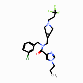 CCCn1cnc(C(=O)N(Cc2cccc(Cl)c2)CC2C3CN(CCC(F)(F)F)CC32)c1